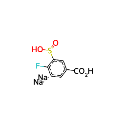 O=C(O)c1ccc(F)c(S(=O)O)c1.[Na].[Na]